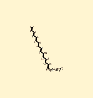 [CH]=C/C=C/C=C/C=C/C=C/C=C/C=C/C=C/CCCCCCC